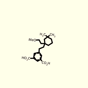 COCCC1(CCc2cc(C(=O)O)cc(C(=O)O)c2)CCCC(C)(C)C1